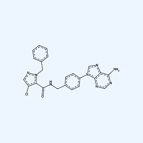 Nc1ncnc2c1ncn2-c1ccc(CNC(=O)c2c(Cl)cnn2Cc2ccccc2)cc1